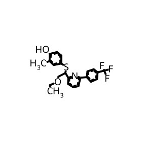 CCOCC(Sc1ccc(O)c(C)c1)c1cccc(-c2ccc(C(F)(F)F)cc2)n1